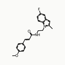 COc1ccc(C=CC(=O)NCCn2c(C)cc3cc(F)ccc32)cc1